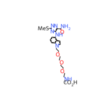 CSc1nnc(C(N)=O)c(Nc2cccc3c2ccn3CCOCCOCCOCCNC(=O)O)n1